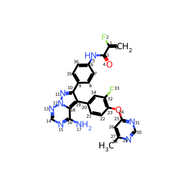 C=C(F)C(=O)Nc1ccc(-c2nn3ncnc(N)c3c2-c2ccc(Oc3cc(C)ncn3)c(F)c2)cc1